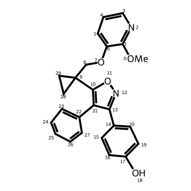 COc1ncccc1OCC1(c2onc(-c3ccc(O)cc3)c2-c2ccccc2)CC1